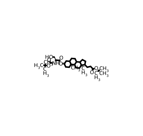 CC(C)(C)OC(=O)CCC1CCC2C3CCC4C[C@H](OC(=O)[C@H](CO)NC(=O)OC(C)(C)C)CC[C@]4(C)C3CC[C@]12C